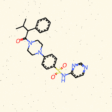 CC(C)C(C(=O)N1CCN(c2ccc(S(=O)(=O)Nc3ccncn3)cc2)CC1)c1ccccc1